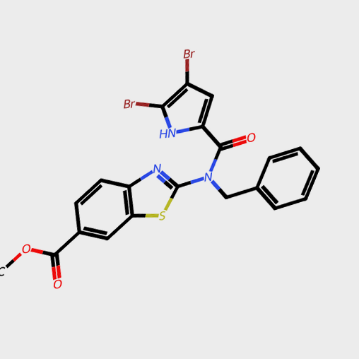 COC(=O)c1ccc2nc(N(Cc3ccccc3)C(=O)c3cc(Br)c(Br)[nH]3)sc2c1